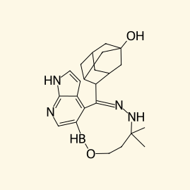 CC1(C)CCOBc2cnc3[nH]ccc3c2/C(C2C3CC4CC2CC(O)(C4)C3)=N\N1